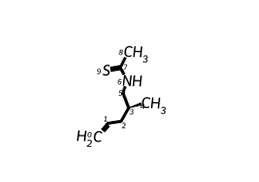 C=CC[C@H](C)CNC(C)=S